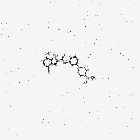 CC(=O)N(C)C1CCN(c2cccc(NC(=O)c3cc4c(F)ccc(C)c4[nH]3)c2)CC1